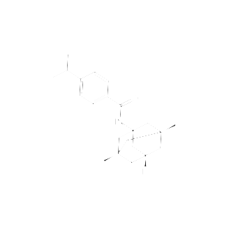 CC(C)c1ccc(C(=O)NC23C[C@@H]4C[C@@](C)(C2)C[C@](C)(C4)C3)cc1